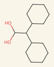 OC(O)C(C1CCCCC1)C1CCCCC1